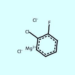 Fc1ccccc1Cl.[Cl-].[Cl-].[Mg+2]